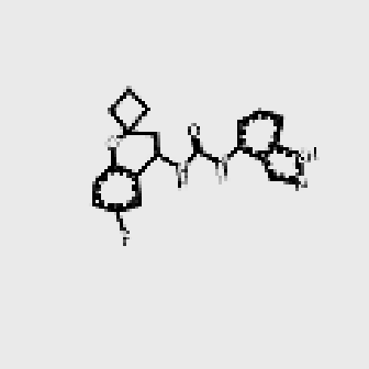 O=C(Nc1cccc2[nH]ncc12)NC1CC2(CCC2)Oc2ccc(F)cc21